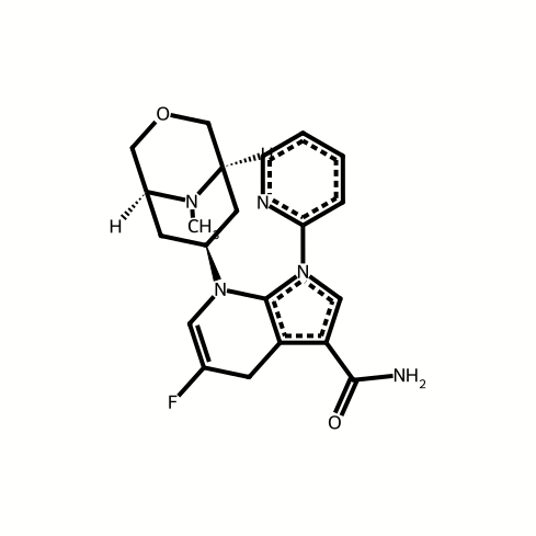 CN1[C@@H]2COC[C@H]1C[C@@H](N1C=C(F)Cc3c(C(N)=O)cn(-c4ccccn4)c31)C2